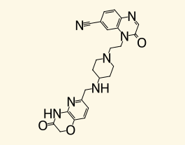 N#Cc1ccc2ncc(=O)n(CCN3CCC(NCc4ccc5c(n4)NC(=O)CO5)CC3)c2c1